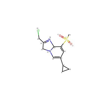 CS(=O)(=O)C1=CC(C2CC2)=CN2CC(CCl)=NC12